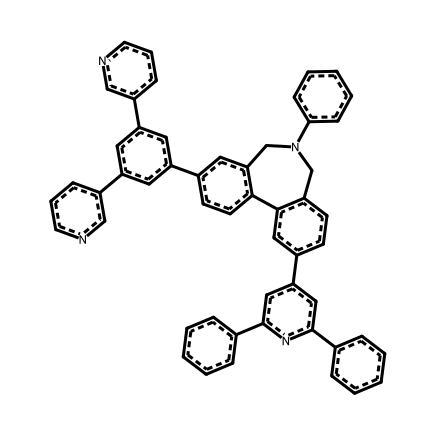 c1ccc(-c2cc(-c3ccc4c(c3)-c3ccc(-c5cc(-c6cccnc6)cc(-c6cccnc6)c5)cc3CN(c3ccccc3)C4)cc(-c3ccccc3)n2)cc1